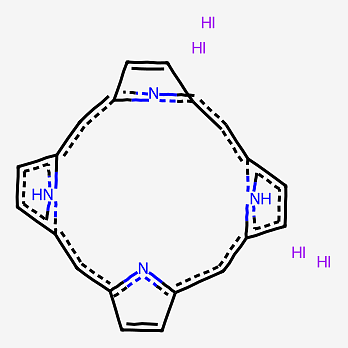 C1=Cc2cc3ccc(cc4nc(cc5ccc(cc1n2)[nH]5)C=C4)[nH]3.I.I.I.I